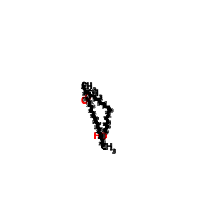 CCCCCCCC/C=C\CCCCCCCCO.CCCCCCCCCCCCCCCCCC(=O)OCCCC